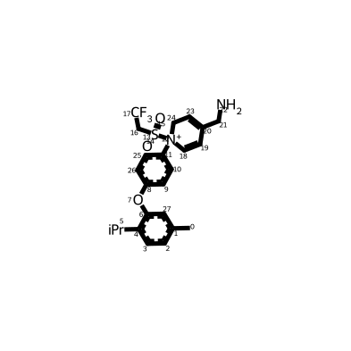 Cc1ccc(C(C)C)c(Oc2ccc([N+]3(S(=O)(=O)CC(F)(F)F)C=CC(CN)=CC3)cc2)c1